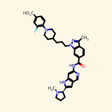 Cc1nn(CCCC2CCN(c3ccc(C(=O)O)cc3F)CC2)c2cc(C(=O)Nc3cc4[nH]c([C@H]5CCCN5C)cc4cn3)ccc12